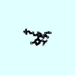 CC(C)(C)OC(=O)Nc1cnn(COCC[Si](C)(C)C)c1-c1cc(Cl)ccc1OC(F)F